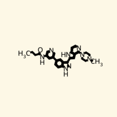 CCCC(=O)Nc1cncc(-c2ccc3[nH]nc(-c4cc5c(N6CCN(C)CC6)nccc5[nH]4)c3c2)c1